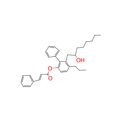 CCCCCCC(O)Cc1c(CCC)ccc(OC(=O)C=Cc2ccccc2)c1-c1ccccc1